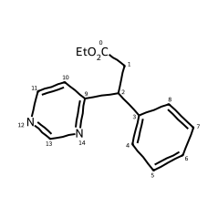 CCOC(=O)CC(c1ccccc1)c1ccncn1